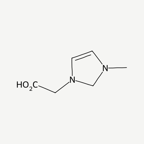 CN1C=CN(CC(=O)O)C1